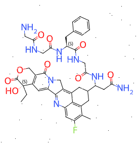 CC[C@@]1(O)C(=O)OCc2c1cc1n(c2=O)Cc2c-1nc1cc(F)c(C)c3c1c2CC(C(CC(N)=O)NC(=O)CNC(=O)[C@H](Cc1ccccc1)NC(=O)CNC(=O)CN)C3